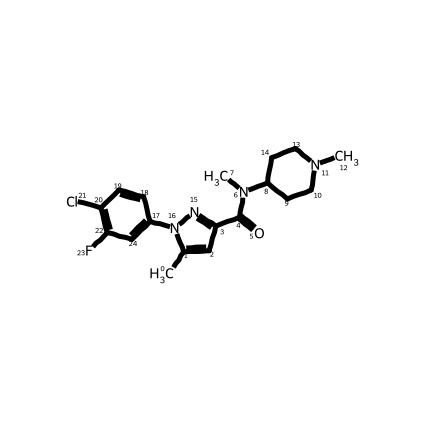 Cc1cc(C(=O)N(C)C2CCN(C)CC2)nn1-c1ccc(Cl)c(F)c1